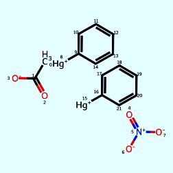 CC(=O)[O-].O=[N+]([O-])[O-].[Hg+][c]1ccccc1.[Hg+][c]1ccccc1